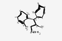 NCC(O)C(c1ccccc1)c1ccccc1Cl